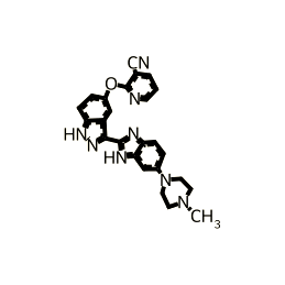 CN1CCN(c2ccc3nc(-c4n[nH]c5ccc(Oc6ncccc6C#N)cc45)[nH]c3c2)CC1